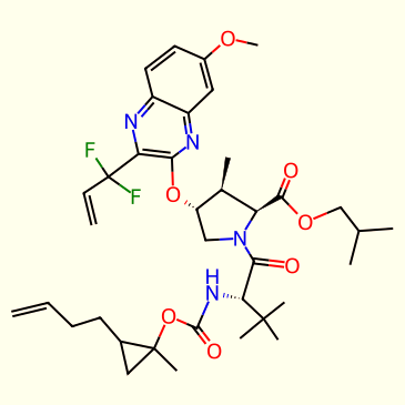 C=CCCC1CC1(C)OC(=O)N[C@H](C(=O)N1C[C@H](Oc2nc3cc(OC)ccc3nc2C(F)(F)C=C)[C@@H](C)[C@H]1C(=O)OCC(C)C)C(C)(C)C